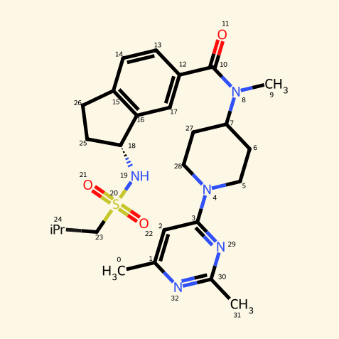 Cc1cc(N2CCC(N(C)C(=O)c3ccc4c(c3)[C@H](NS(=O)(=O)CC(C)C)CC4)CC2)nc(C)n1